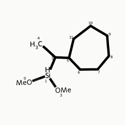 CO[SiH](OC)C(C)C1CCCCCC1